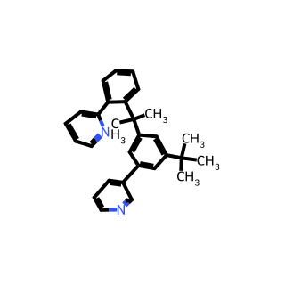 CC(C)(C)c1cc(-c2cccnc2)cc(C(C)(C)c2ccccc2-c2ccccn2)c1